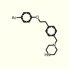 CC(=O)c1ccc(OCCc2ccc(CN3CCNCC3)cc2)cc1